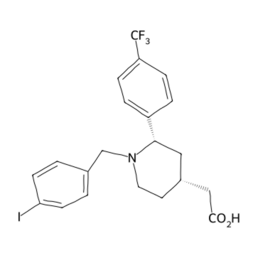 O=C(O)C[C@@H]1CCN(Cc2ccc(I)cc2)[C@H](c2ccc(C(F)(F)F)cc2)C1